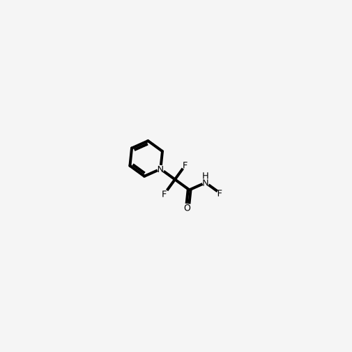 O=C(NF)C(F)(F)N1C=CC=CC1